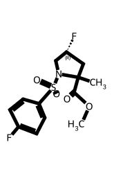 COC(=O)C1(C)C[C@@H](F)CN1S(=O)(=O)c1ccc(F)cc1